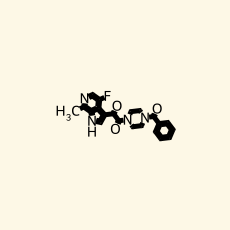 Cc1ncc(F)c2c(C(=O)C(=O)N3CCN(C(=O)c4ccccc4)CC3)c[nH]c12